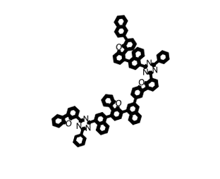 C1=CCC(c2nc(-c3ccc(-c4ccc(-c5cc(-c6ccc7oc8c(-c9nc(-c%10ccccc%10)nc(-c%10ccc(-c%11cccc%12oc%13c(-c%14ccc%15ccccc%15c%14)cccc%13c%11%12)c%11ccccc%10%11)n9)cccc8c7c6)cc6ccccc56)c5oc6ccccc6c45)c4ccccc34)nc(-c3cccc4c3oc3ccccc34)n2)C=C1